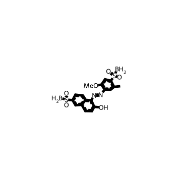 BS(=O)(=O)c1ccc2c(/N=N/c3cc(C)c(S(B)(=O)=O)cc3OC)c(O)ccc2c1